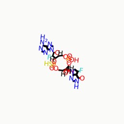 Nc1ncnc2c1ncn2[C@@H]1O[C@@H]2COP(=O)(O)O[C@@H]3[C@H](O)[C@@H](COP(=O)(S)O[C@H]2[C@H]1F)O[C@H]3n1cc(F)c2c(=O)[nH]cnc21